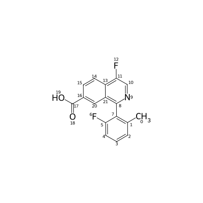 Cc1cccc(F)c1-c1ncc(F)c2ccc(C(=O)O)cc12